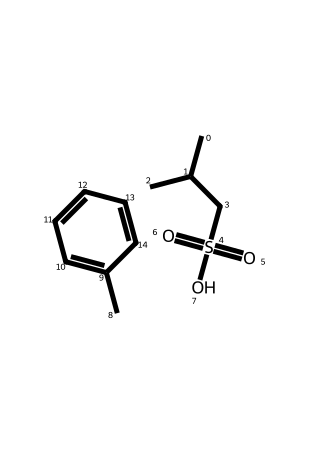 CC(C)CS(=O)(=O)O.Cc1ccccc1